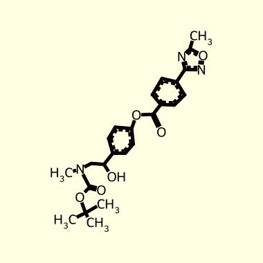 Cc1nc(-c2ccc(C(=O)Oc3ccc(C(O)CN(C)C(=O)OC(C)(C)C)cc3)cc2)no1